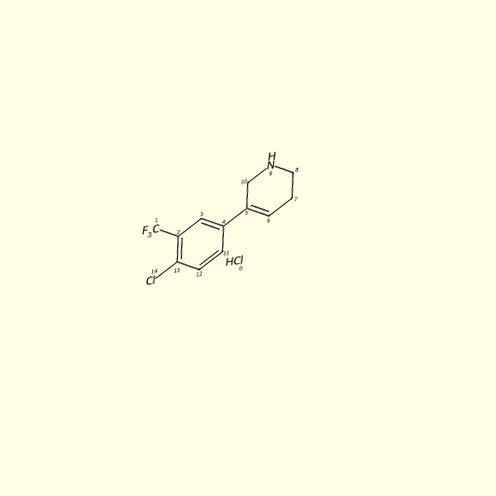 Cl.FC(F)(F)c1cc(C2=CCCNC2)ccc1Cl